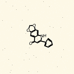 O=c1cc(-c2ccccc2)[nH]c2cc3c(cc12)OCO3